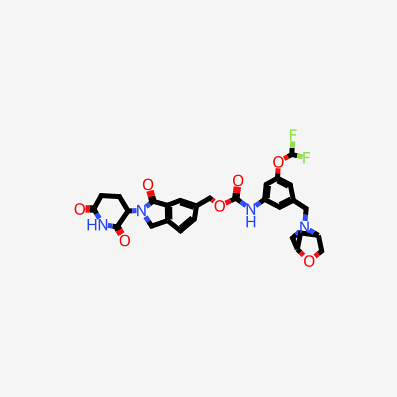 O=C1CCC(N2Cc3ccc(COC(=O)Nc4cc(CN5CC6CC5CO6)cc(OC(F)F)c4)cc3C2=O)C(=O)N1